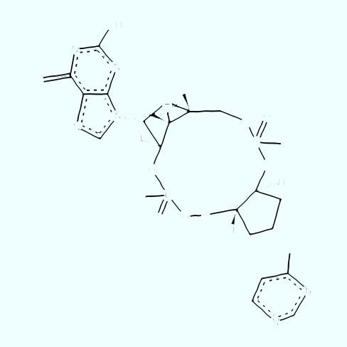 Cc1nc2c(ncn2[C@@H]2O[C@@H]3COP(=O)(S)O[C@H]4C[C@H](Oc5ccncn5)C[C@@H]4COP(=O)(S)O[C@@H]2[C@@H]3O)c(=O)[nH]1